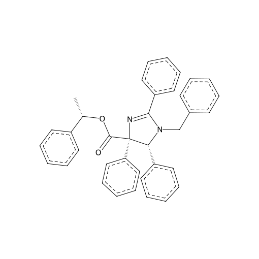 C[C@H](OC(=O)[C@@]1(c2ccccc2)N=C(c2ccccc2)N(Cc2ccccc2)[C@@H]1c1ccccc1)c1ccccc1